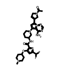 CC(=O)N1CC=C(c2cc(N3CCCC(NC(=O)c4sc(C(F)F)cc4OC4CCN(C)CC4)C3)c3c(N)ncnn23)C1